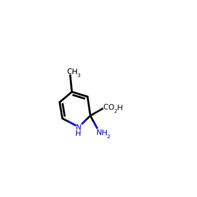 CC1=CC(N)(C(=O)O)NC=C1